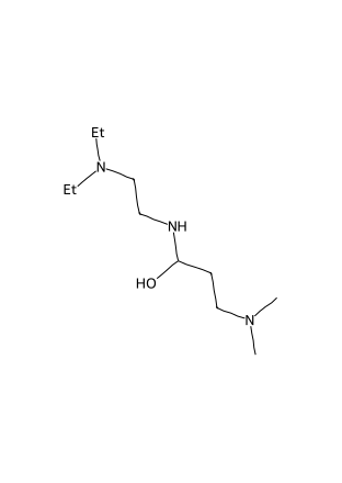 CCN(CC)CCNC(O)CCN(C)C